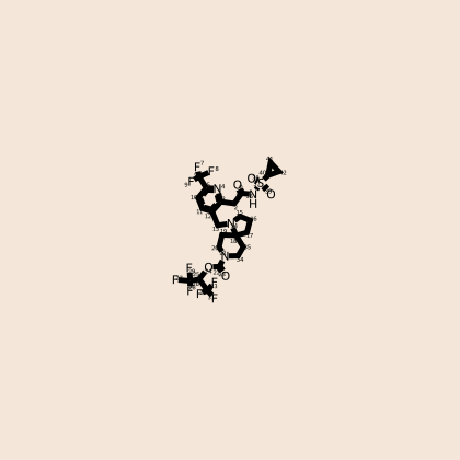 O=C(Cc1nc(C(F)(F)F)ccc1CN1CCCC12CCN(C(=O)OC(C(F)(F)F)C(F)(F)F)CC2)NS(=O)(=O)C1CC1